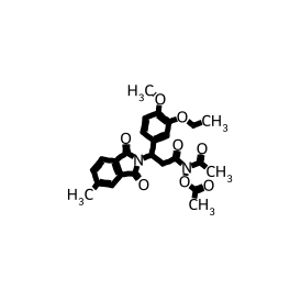 CCOc1cc(C(CC(=O)N(OC(C)=O)C(C)=O)N2C(=O)c3ccc(C)cc3C2=O)ccc1OC